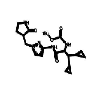 CC(C)(C)OC(=O)NC(C(=O)Nc1ccn(CC2CCNC2=O)n1)C(C1CC1)C1CC1